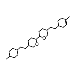 CC1=CCC(CCC2CCC(C3CCC(CCC4CCC(C)CC4)CO3)OC2)CC1